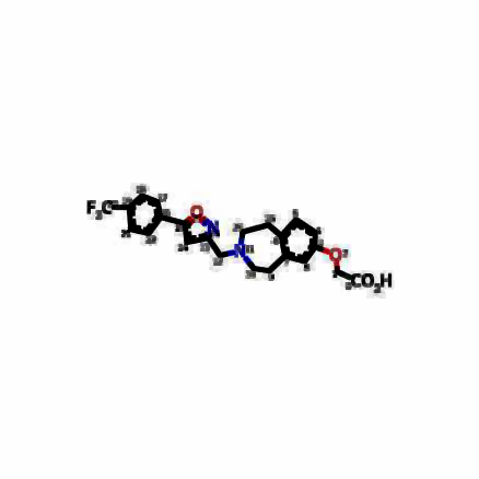 O=C(O)COc1ccc2c(c1)CCN(Cc1cc(-c3ccc(C(F)(F)F)cc3)on1)CC2